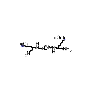 CCCCCCCC/C=C\CCCCCC(CCCN)CCNCCCN1CCN(CCCNCCC(CCCN)CCCCC/C=C\CCCCCCCC)CC1